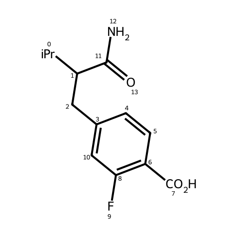 CC(C)C(Cc1ccc(C(=O)O)c(F)c1)C(N)=O